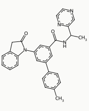 Cc1ccc(-c2cc(C(=O)NC(C)c3cnccn3)cc(N3C(=O)Cc4ccccc43)c2)cc1